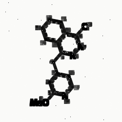 COc1cc(Cc2nnc(Cl)c3ccccc23)ccn1